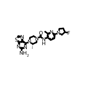 Cc1nc(N2CCC(F)C2)ccc1NC(=O)N1CCN(c2nc(N)nc3scnc23)[C@@H](C)C1